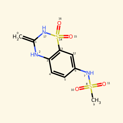 C=C1Nc2ccc(NS(C)(=O)=O)cc2S(=O)(=O)N1